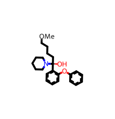 COCCCC[C@](O)(c1ccccc1Oc1ccccc1)N1CCCCC1